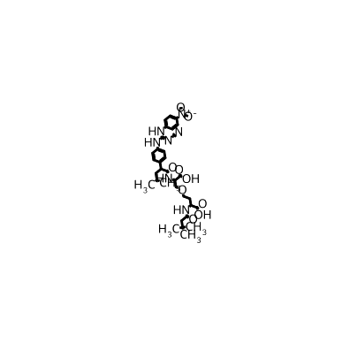 CC(C)CC(C(=O)NC(COCCC(NC(=O)CC(C)(C)C)C(=O)O)C(=O)O)c1ccc(NC(=NC#N)Nc2ccc([N+](=O)[O-])cc2)cc1